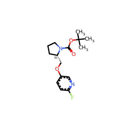 CC(C)(C)OC(=O)N1CCC[C@H]1COc1ccc(F)nc1